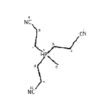 C[PH](CCC#N)(CCC#N)CCC#N